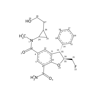 CN(C(=O)c1cc(C(N)=O)c2c(c1)[C@H](c1ccccc1)[C@@H](CF)O2)C1CC1CCO